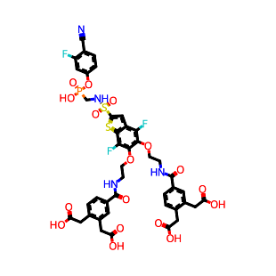 N#Cc1ccc(OP(=O)(O)CNS(=O)(=O)c2cc3c(F)c(OCCNC(=O)c4ccc(CC(=O)O)c(CC(=O)O)c4)c(OCCNC(=O)c4ccc(CC(=O)O)c(CC(=O)O)c4)c(F)c3s2)cc1F